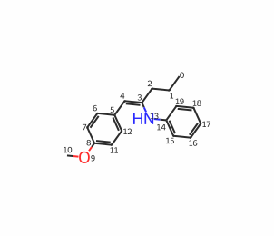 CCCC(=Cc1ccc(OC)cc1)Nc1ccccc1